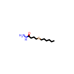 CCCCCCSCCCC(=O)NN